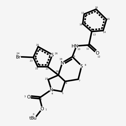 CC(C)(C)OC(=O)N1CC2CSC(NC(=O)c3ccccc3)=NC2(c2cc(Br)cs2)C1